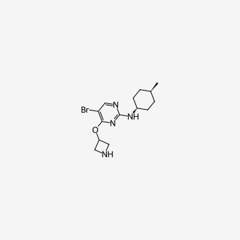 C[C@H]1CC[C@@H](Nc2ncc(Br)c(OC3CNC3)n2)CC1